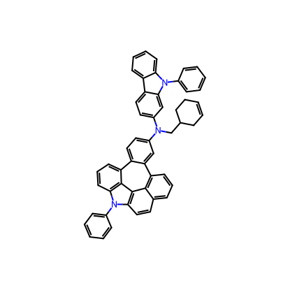 C1=CCC(CN(c2ccc3c(c2)-c2cccc4ccc5c(c24)c2c-3cccc2n5-c2ccccc2)c2ccc3c4ccccc4n(-c4ccccc4)c3c2)CC1